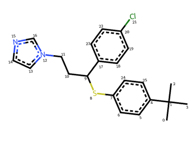 CC(C)(C)c1ccc(SC(CCn2ccnc2)c2ccc(Cl)cc2)cc1